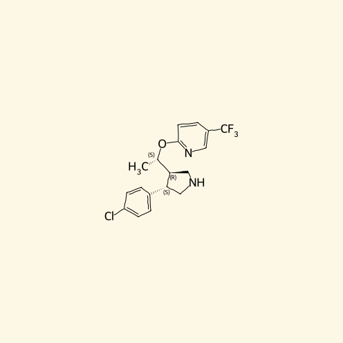 C[C@H](Oc1ccc(C(F)(F)F)cn1)[C@H]1CNC[C@@H]1c1ccc(Cl)cc1